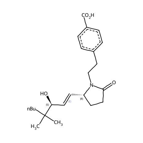 CCCCC(C)(C)[C@@H](O)/C=C/[C@H]1CCC(=O)N1CCc1ccc(C(=O)O)cc1